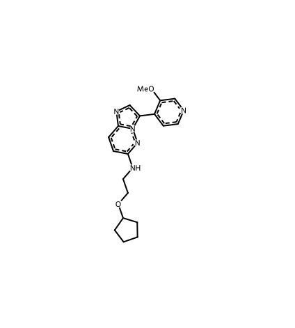 COc1cnccc1-c1cnc2ccc(NCCOC3CCCC3)nn12